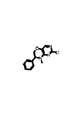 CN1c2nc(Cl)ncc2OCC1c1ccccc1